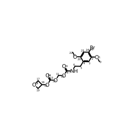 COc1cc(CCNC(=O)OCOC(=O)OC2COC2)c(OC)cc1Br